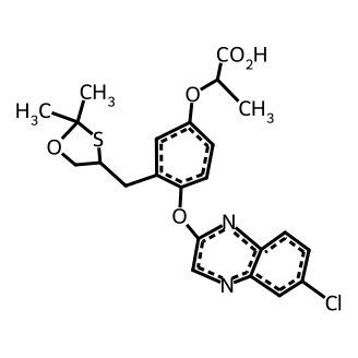 CC(Oc1ccc(Oc2cnc3cc(Cl)ccc3n2)c(CC2COC(C)(C)S2)c1)C(=O)O